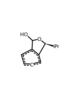 CC(C)[C@@H]1OC(O)c2ccccc21